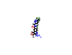 CCN(C(=O)c1cc2c3c(c(N)nc2cc1F)[C@@H](C)OC3)C(C)c1ccc(C(F)(F)F)nn1